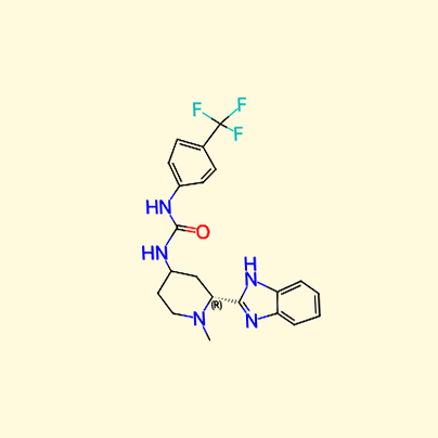 CN1CCC(NC(=O)Nc2ccc(C(F)(F)F)cc2)C[C@@H]1c1nc2ccccc2[nH]1